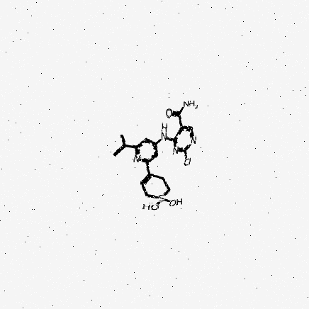 C=C(C)c1cc(Nc2nc(Cl)ncc2C(N)=O)cc(C2=CCS(O)(O)CC2)n1